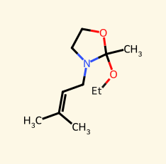 CCOC1(C)OCCN1CC=C(C)C